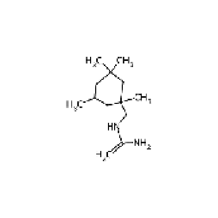 C=C(N)NCC1(C)CC(C)CC(C)(C)C1